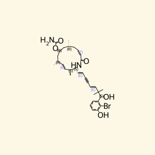 C[C@@H]1C/C=C\C(=O)N[C@H](/C=C/C#C/C=C/C(C)(C)[C@H](O)c2cccc(O)c2Br)[C@@H](C)/C=C/[C@H](C)C[C@H](OC(N)=O)C1